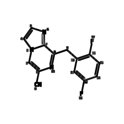 N#Cc1cn2ccnc2c(Cc2cc(F)ccc2F)n1